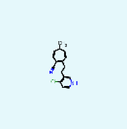 CC1C=CC(C#N)=C(CCC2=C(Cl)C=CNC2)C=C1